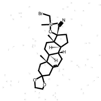 C[C@]12CCC3(CC1=CC[C@@H]1[C@@H]2CC[C@@]2(C)[C@H]1CC[C@@]2(C#N)O[Si](C)(C)CBr)OCCO3